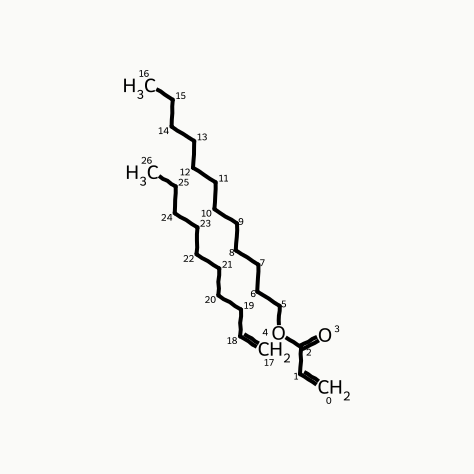 C=CC(=O)OCCCCCCCCCCCC.C=CCCCCCCCC